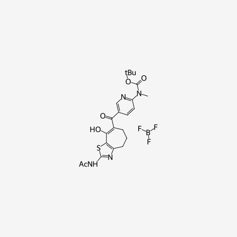 CC(=O)Nc1nc2c(s1)C(O)=C(C(=O)c1ccc(N(C)C(=O)OC(C)(C)C)nc1)CCC2.FB(F)F